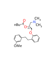 CCCCC(=O)O[C@H](COc1ccccc1CCc1cccc(OC)c1)CN(C)C